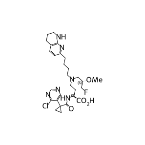 CO[C@H](CF)CN(CCCCc1ccc2c(n1)NCCC2)CC[C@H](NC(=O)C1(c2cncnc2Cl)CC1)C(=O)O